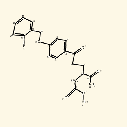 CC(C)(C)OC(=O)NC(CCC(=O)c1ccc(OCc2ccccc2F)cc1)C(N)=O